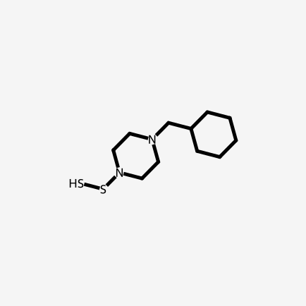 SSN1CCN(CC2CCCCC2)CC1